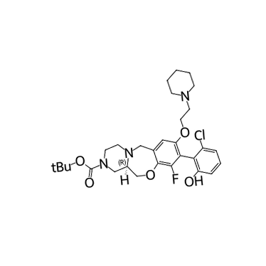 CC(C)(C)OC(=O)N1CCN2Cc3cc(OCCN4CCCCC4)c(-c4c(O)cccc4Cl)c(F)c3OC[C@H]2C1